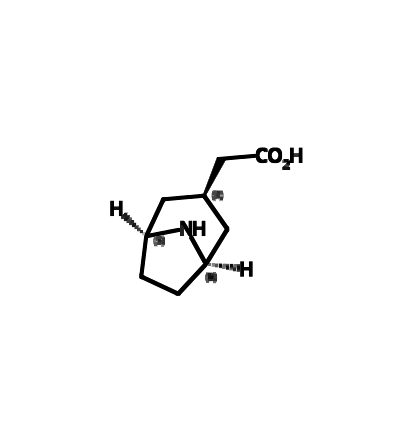 O=C(O)C[C@H]1C[C@H]2CC[C@@H](C1)N2